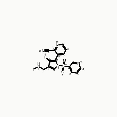 CNCc1cn(S(=O)(=O)c2cccnc2)c(-c2cccnc2C#N)c1F